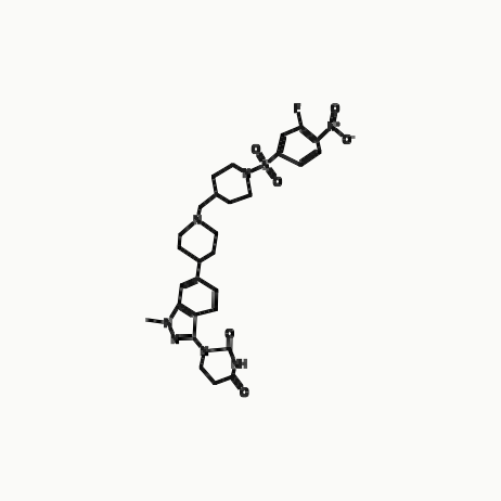 Cn1nc(N2CCC(=O)NC2=O)c2ccc(C3CCN(CC4CCN(S(=O)(=O)c5ccc([N+](=O)[O-])c(F)c5)CC4)CC3)cc21